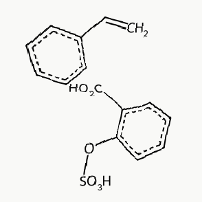 C=Cc1ccccc1.O=C(O)c1ccccc1OS(=O)(=O)O